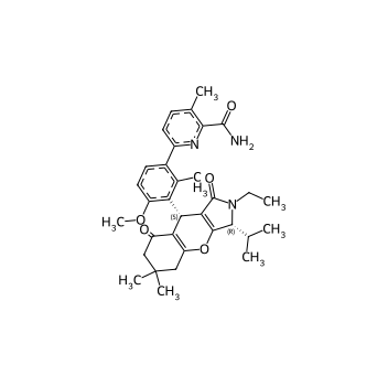 CCN1C(=O)C2=C(OC3=C(C(=O)CC(C)(C)C3)[C@@H]2c2c(OC)ccc(-c3ccc(C)c(C(N)=O)n3)c2C)[C@H]1C(C)C